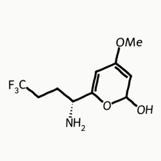 COC1=CC(O)OC([C@H](N)CCC(F)(F)F)=C1